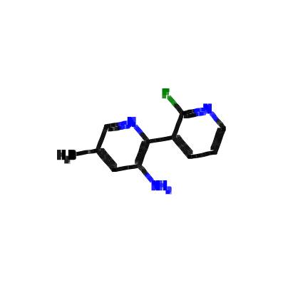 Bc1cnc(-c2cccnc2F)c(N)c1